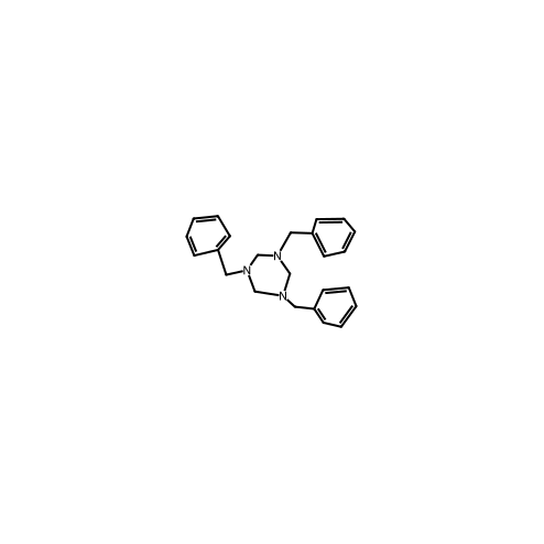 c1ccc(CN2CN(Cc3ccccc3)CN(Cc3ccccc3)C2)cc1